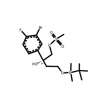 CC(C)(C)[Si](C)(C)OCC[C@](O)(COS(C)(=O)=O)c1ccc(F)c(Br)c1